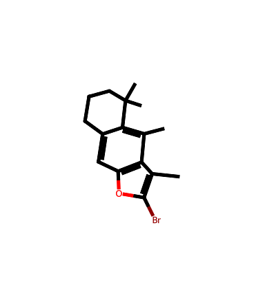 Cc1c(Br)oc2cc3c(c(C)c12)C(C)(C)CCC3